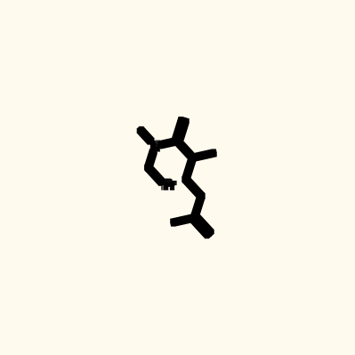 C=C(C)CCC(C)C(=C)N(C)CC(C)C